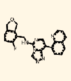 Fc1ccc2c(c1CNc1ncc(-c3cccc4cccnc34)c3nncn13)COC2